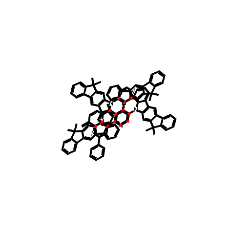 C=C(/C=C\C(=C(/C)c1cnccc1-n1c2ccccc2c2cc3c(cc21)C(C)(C)c1ccccc1-3)n1c2ccccc2c2cc3c(cc21)C(C)(C)c1ccccc1-3)c1nc(-c2ccccc2)cc(-c2ccc(-n3c4ccccc4c4cc5c(cc43)C(C)(C)c3ccccc3-5)c(-c3cnccc3-n3c4ccccc4c4cc5c(cc43)C(C)(C)c3ccccc3-5)c2)n1